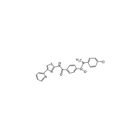 CN(c1ccc(Cl)cc1)[S+]([O-])c1ccc(C(=O)Nc2nc(-c3ccccn3)cs2)cc1